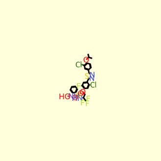 CC(C)Oc1ccc(-c2nnc(-c3cc(F)c(OCC(NS(=O)(=O)c4ccccc4NO)C(F)(F)F)cc3Cl)s2)cc1Cl